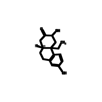 CCC12CC(O)C(=O)C[C@H]1CCc1cc(O)ccc12